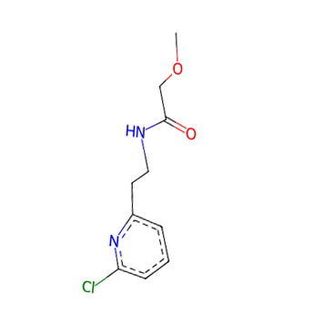 COCC(=O)NCCc1cccc(Cl)n1